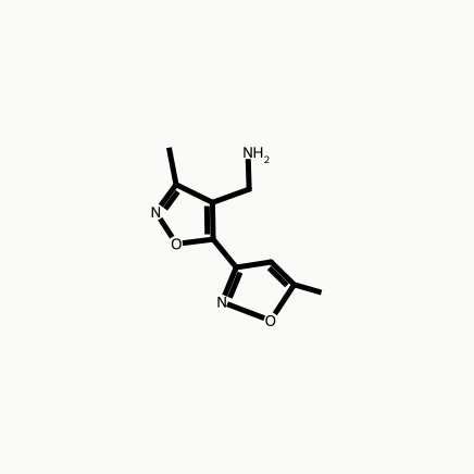 Cc1cc(-c2onc(C)c2CN)no1